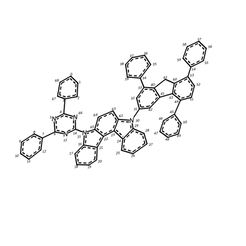 c1ccc(-c2nc(-c3ccccc3)nc(-n3c4ccccc4c4c5c6ccccc6n(-c6cc(-c7ccccc7)c7c(c6)-c6c(-c8ccccc8)ccc(-c8ccccc8)c6C7)c5ccc43)n2)cc1